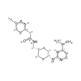 CN(C)c1ccnc(N[C@H]2CC[C@@H](CNC(=O)Cc3ccc(F)cc3)CC2)n1